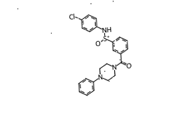 O=C(c1cccc([S+]([O-])Nc2ccc(Cl)cc2)c1)N1CCN(c2ccccc2)CC1